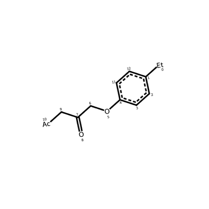 CCc1ccc(OCC(=O)CC(C)=O)cc1